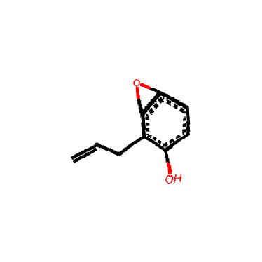 C=CCc1c(O)ccc2c1O2